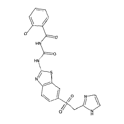 O=C(NC(=O)c1ccccc1Cl)Nc1nc2ccc(S(=O)(=O)Cc3ncc[nH]3)cc2s1